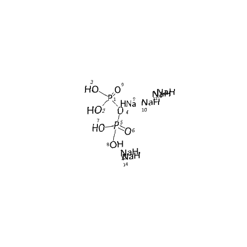 O=P(O)(O)OP(=O)(O)O.[NaH].[NaH].[NaH].[NaH].[NaH].[NaH]